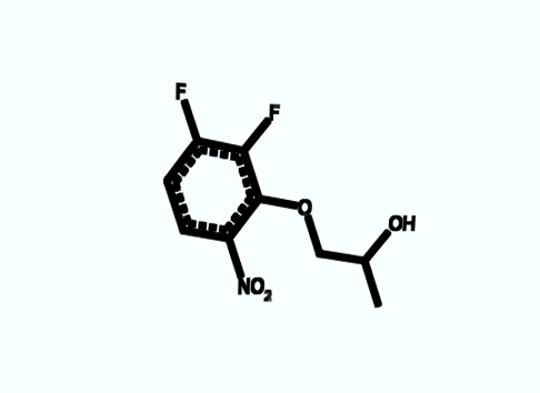 CC(O)COc1c([N+](=O)[O-])ccc(F)c1F